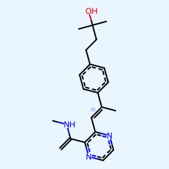 C=C(NC)c1nccnc1/C=C(\C)c1ccc(CCC(C)(C)O)cc1